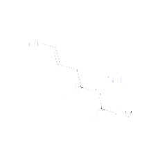 CCCC=CCC(=O)N(N)C(=O)OC